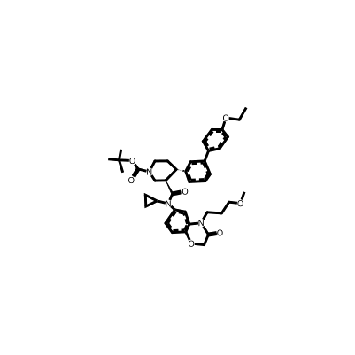 CCOc1ccc(-c2cccc([C@H]3CCN(C(=O)OC(C)(C)C)C[C@@H]3C(=O)N(c3ccc4c(c3)N(CCCOC)C(=O)CO4)C3CC3)c2)cc1